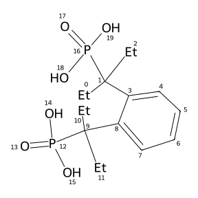 CCC(CC)(c1ccccc1C(CC)(CC)P(=O)(O)O)P(=O)(O)O